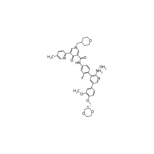 COc1cc(-c2cnc(N)c(-c3ccc(NC(=O)c4cn(CC5CCOCC5)cc(-c5ccc(C)cn5)c4=O)cc3F)c2)ccc1OC[C@H]1COCCO1.O